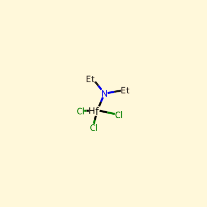 CC[N](CC)[Hf]([Cl])([Cl])[Cl]